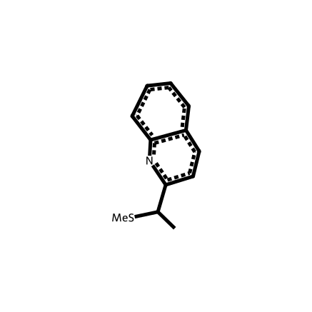 CSC(C)c1ccc2ccccc2n1